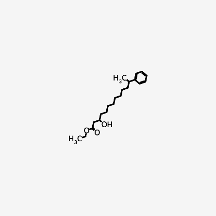 CCOC(=O)CC(O)CCCCCCCCC(C)c1ccccc1